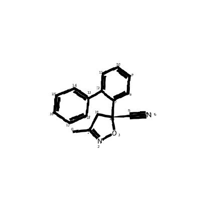 CC1=NO[C@@](C#N)(c2ccccc2-c2ccccc2)C1